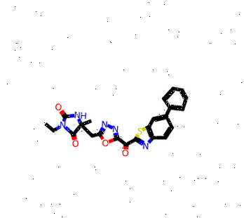 CCN1C(=O)NC(C)(Cc2nnc(C(=O)c3nc4ccc(-c5ccccc5)cc4s3)o2)C1=O